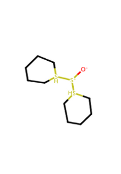 [O-][S+]([SH]1CCCCC1)[SH]1CCCCC1